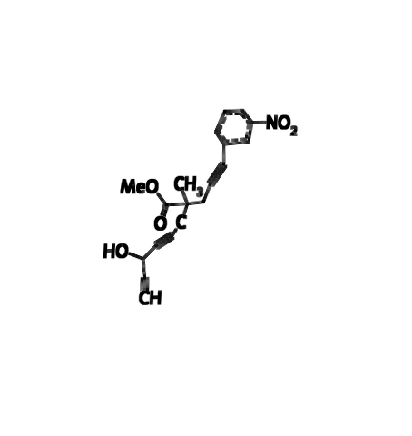 C#CC(O)C#CCC(C)(CC#Cc1cccc([N+](=O)[O-])c1)C(=O)OC